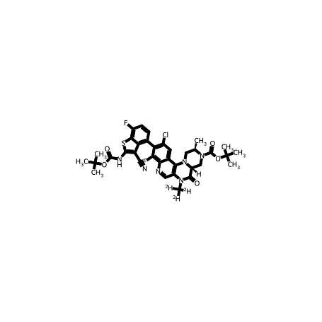 [2H]C([2H])([2H])N1C(=O)[C@H]2CN(C(=O)OC(C)(C)C)[C@H](C)CN2c2c1cnc1c(F)c(-c3ccc(F)c4sc(NC(=O)OC(C)(C)C)c(C#N)c34)c(Cl)cc21